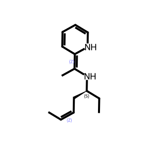 C/C=C\C[C@H](CC)N/C(C)=C1/C=CC=CN1